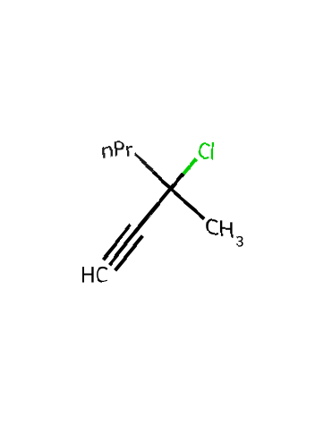 C#CC(C)(Cl)CCC